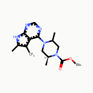 Cc1[nH]c2ncnc(N3C[C@H](C)N(C(=O)OC(C)(C)C)CC3C)c2c1C(F)(F)F